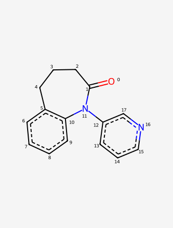 O=C1CCCc2ccccc2N1c1cccnc1